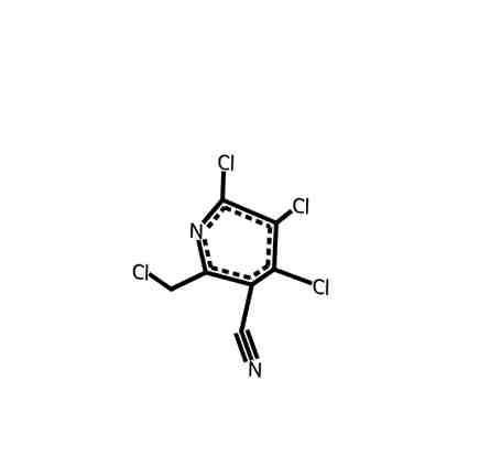 N#Cc1c(CCl)nc(Cl)c(Cl)c1Cl